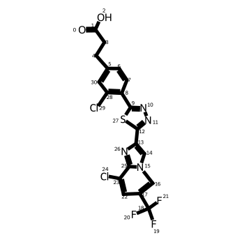 O=C(O)CCc1ccc(-c2nnc(-c3cn4cc(C(F)(F)F)cc(Cl)c4n3)s2)c(Cl)c1